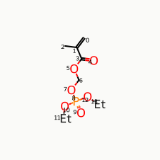 C=C(C)C(=O)OCOP(=O)(OCC)OCC